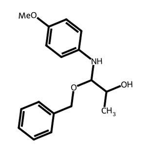 COc1ccc(NC(OCc2ccccc2)C(C)O)cc1